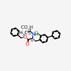 C[C@H](N[C@@H](Cc1ccc(-c2ccccc2)cc1Cl)C(=O)OCc1ccccc1)C(=O)O